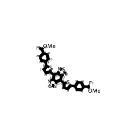 COC(F)c1ccc(-c2ccc(-c3c4c(c(-c5ccc(-c6ccc(C(F)OC)cc6)s5)c5nsnc35)N=S=N4)s2)cc1